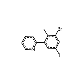 Cc1c(Br)cc(I)cc1-c1ccccn1